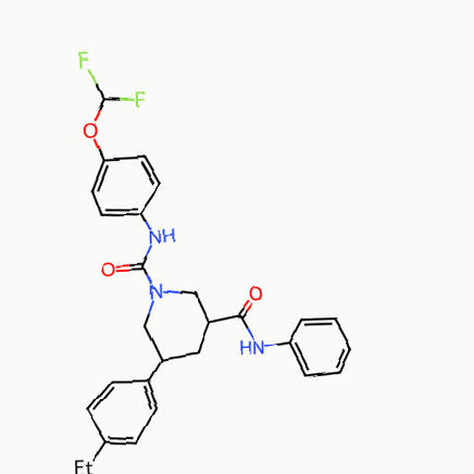 CCc1ccc(C2CC(C(=O)Nc3ccccc3)CN(C(=O)Nc3ccc(OC(F)F)cc3)C2)cc1